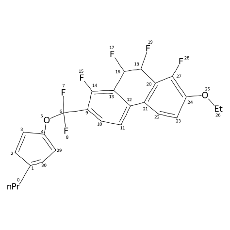 CCCc1ccc(OC(F)(F)c2ccc3c(c2F)C(F)C(F)c2c-3ccc(OCC)c2F)cc1